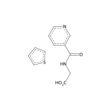 O=C(O)CNC(=O)c1cccnc1.c1ccsc1